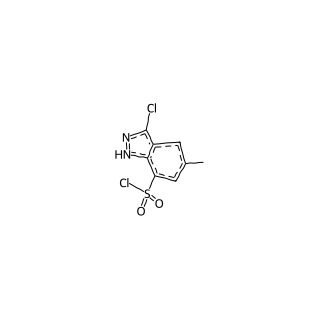 Cc1cc(S(=O)(=O)Cl)c2[nH]nc(Cl)c2c1